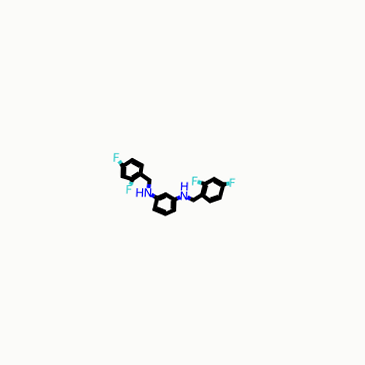 Fc1ccc(CNc2cccc(NCc3ccc(F)cc3F)c2)c(F)c1